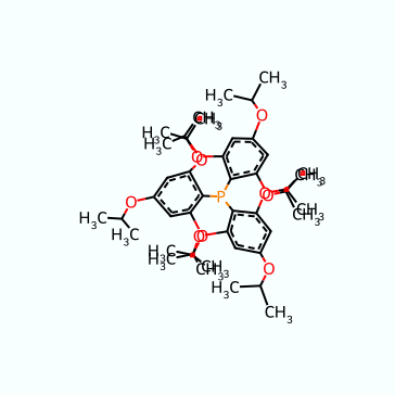 CC(C)Oc1cc(OC(C)C)c(P(c2c(OC(C)C)cc(OC(C)C)cc2OC(C)C)c2c(OC(C)C)cc(OC(C)C)cc2OC(C)C)c(OC(C)C)c1